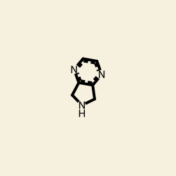 c1cnc2c(n1)CNC2